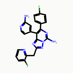 Nc1cc(-c2c(-c3ccc(F)cc3)nc(N)n3nc(Cc4ncccc4F)nc23)ccn1